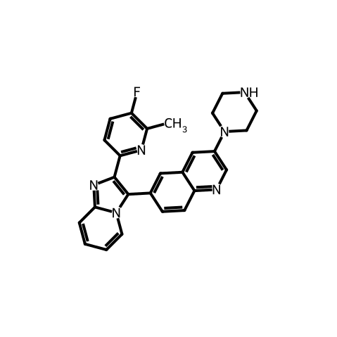 Cc1nc(-c2nc3ccccn3c2-c2ccc3ncc(N4CCNCC4)cc3c2)ccc1F